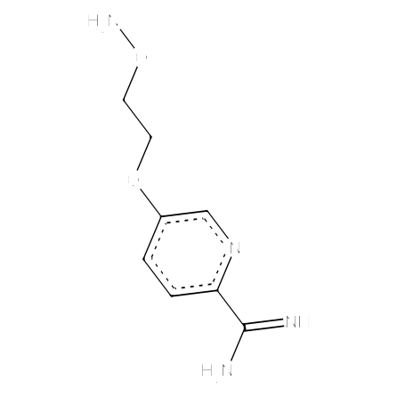 N=C(N)c1ccc(OCCON)cn1